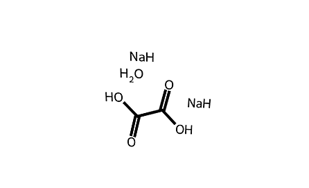 O.O=C(O)C(=O)O.[NaH].[NaH]